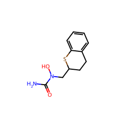 NC(=O)N(O)CC1CCc2ccccc2S1